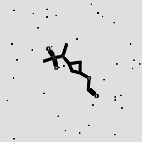 CN(C1CC(OC=O)C1)S(C)(=O)=O